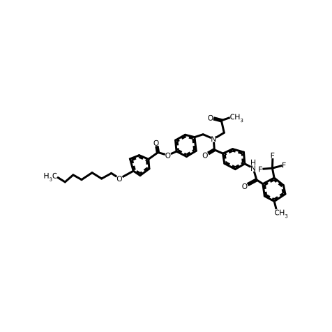 CCCCCCCOc1ccc(C(=O)Oc2ccc(CN(CC(C)=O)C(=O)c3ccc(NC(=O)c4cc(C)ccc4C(F)(F)F)cc3)cc2)cc1